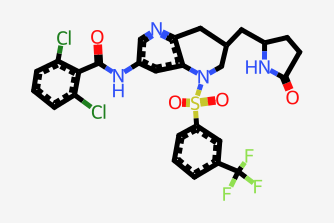 O=C1CCC(CC2Cc3ncc(NC(=O)c4c(Cl)cccc4Cl)cc3N(S(=O)(=O)c3cccc(C(F)(F)F)c3)C2)N1